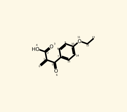 C=C(C(=O)O)C(=O)c1ccc(OCC)cc1